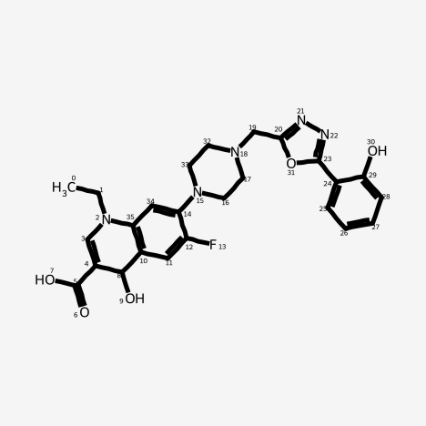 CCN1C=C(C(=O)O)C(O)c2cc(F)c(N3CCN(Cc4nnc(-c5ccccc5O)o4)CC3)cc21